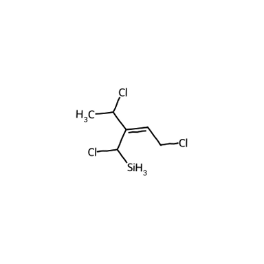 CC(Cl)C(=CCCl)C([SiH3])Cl